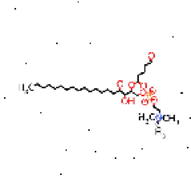 CCCCCCCCCCCCCCCC(=O)C(O)[C@H](COP(=O)([O-])OCC[N+](C)(C)C)OC(=O)CCCC=O